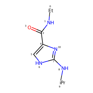 CCNC(=O)c1c[nH]c(NC(C)C)n1